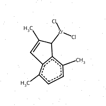 CC1=Cc2c(C)ccc(C)c2[CH]1[Zr]([Cl])[Cl]